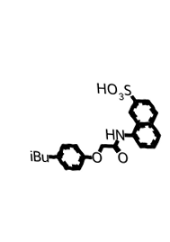 CCC(C)c1ccc(OCC(=O)Nc2cccc3ccc(S(=O)(=O)O)cc23)cc1